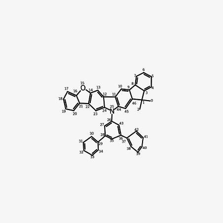 CC1(C)c2ccccc2-c2cc3c4cc5oc6ccccc6c5cc4n(-c4cc(-c5ccccc5)cc(-c5ccccc5)c4)c3cc21